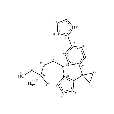 C[C@@]1(CO)Cc2nnc(C3(c4ccc(-c5ncco5)cc4)CC3)n2CCS1